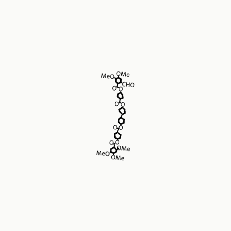 COc1cc(C=O)c(C(=O)Oc2ccc(C(=O)Oc3ccc(-c4ccc(OC(=O)c5ccc(OC(=O)c6cc(OC)c(OC)cc6OC)cc5)cc4)cc3)cc2)cc1OC